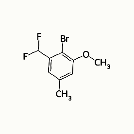 COc1cc(C)cc(C(F)F)c1Br